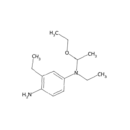 CCOC(C)N(CC)c1ccc(N)c(CC)c1